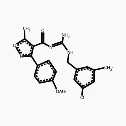 [CH2]c1cc(Cl)cc(CNC(N)=NC(=O)c2c(-c3ccc(OC)cc3)noc2C)c1